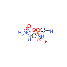 COCC(=O)Nc1ccc(NC(N)=NC(=O)OC)cc1S(=O)(=O)Oc1ccc(C#N)cc1